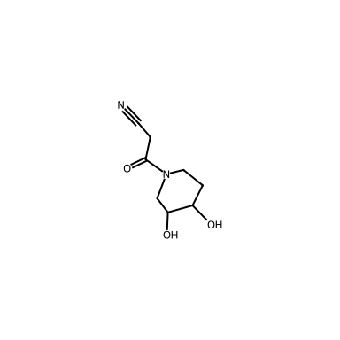 N#CCC(=O)N1CCC(O)C(O)C1